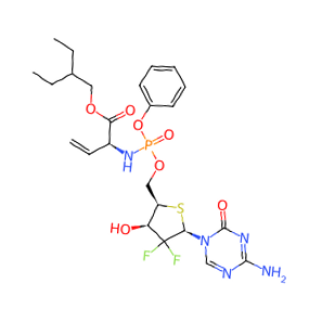 C=C[C@H](NP(=O)(OC[C@H]1S[C@@H](n2cnc(N)nc2=O)C(F)(F)[C@H]1O)Oc1ccccc1)C(=O)OCC(CC)CC